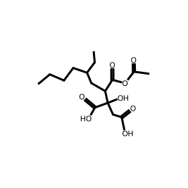 CCCCC(CC)CC(C(=O)OC(C)=O)C(O)(CC(=O)O)C(=O)O